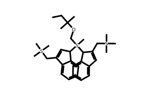 CCC(C)(C)OCS(C)(C1C=C(CS(C)(C)C)c2ccccc21)C1C(CS(C)(C)C)=Cc2ccccc21